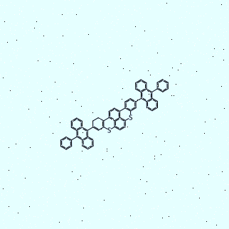 C1=C(c2c3ccccc3c(-c3ccccc3)c3ccccc23)CCC2=C1Sc1ccc3c4c(ccc2c14)-c1ccc(-c2c4ccccc4c(-c4ccccc4)c4ccccc24)cc1S3